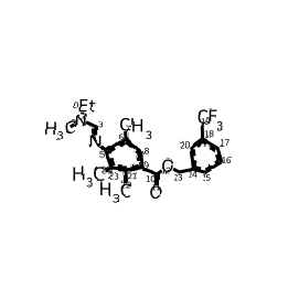 CCN(C)/C=N/c1c(C)cc(C(=O)OCc2cccc(C(F)(F)F)c2)c(C)c1C